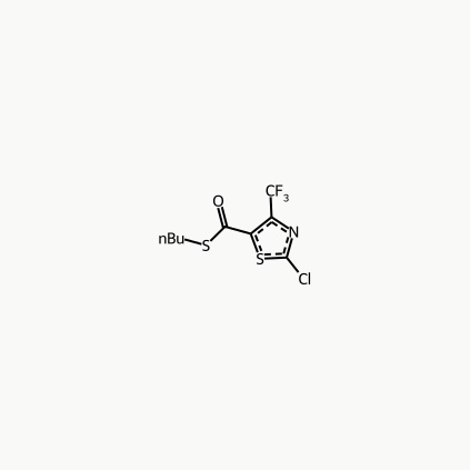 CCCCSC(=O)c1sc(Cl)nc1C(F)(F)F